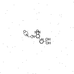 OC(O)c1cccc(-c2cc(N3CC(CN4CCOCC4)C3)c3nonc3c2)n1